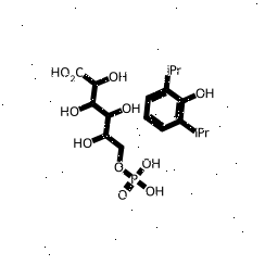 CC(C)c1cccc(C(C)C)c1O.O=C(O)C(O)C(O)C(O)C(O)COP(=O)(O)O